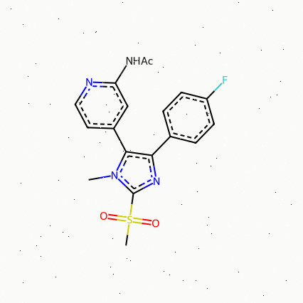 CC(=O)Nc1cc(-c2c(-c3ccc(F)cc3)nc(S(C)(=O)=O)n2C)ccn1